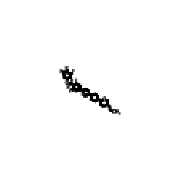 CCCC1CCC(C2CCC(c3ccc(-c4cc(F)c(C(F)(F)Oc5cc(F)c(F)c(F)c5)c(F)c4)nc3)CC2)OC1